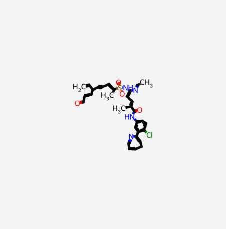 C=CC(C#C/C=C(\C)S(=O)(=O)NC(=C/C=C(\C)C(=O)Nc1ccc(Cl)c(C2=CCC=CC=N2)c1)/N=C/C)/C=C/C=O